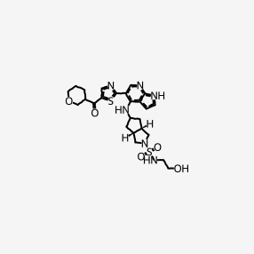 O=C(c1cnc(-c2cnc3[nH]ccc3c2NC2C[C@@H]3CN(S(=O)(=O)NCCO)C[C@@H]3C2)s1)C1CCCOC1